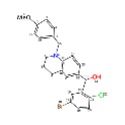 COc1ccc(CN2CCCc3cc(C(O)c4cc(Br)ccc4Cl)ccc32)cc1